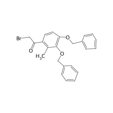 Cc1c(C(=O)CBr)ccc(OCc2ccccc2)c1OCc1ccccc1